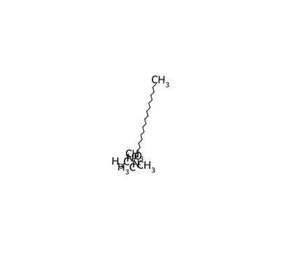 CCCCCCCCCCCCCCCCCCCOC(N(C)C)=[N+](C)C